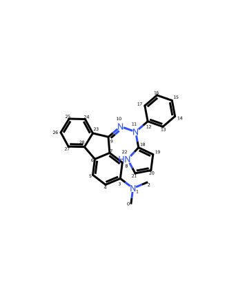 CN(C)c1ccc2c(c1)/C(=N\N(c1ccccc1)c1ccc[nH]1)c1ccccc1-2